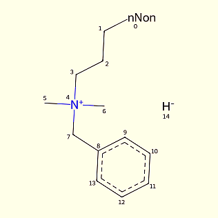 CCCCCCCCCCCC[N+](C)(C)Cc1ccccc1.[H-]